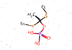 CCSC(C)(OP(=O)(O)O)SCC